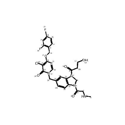 CNCC(=O)N1CN(C(=O)CCO)c2cc(Cn3cnc(OCc4ccc(F)cc4F)c(Cl)c3=O)ccc21